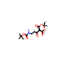 CC(C)(C)OC(=O)NCCC(=O)C1C(=O)OC(C)(C)OC1=O